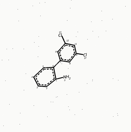 Nc1ccccc1-c1cc(Cl)cc(Cl)c1